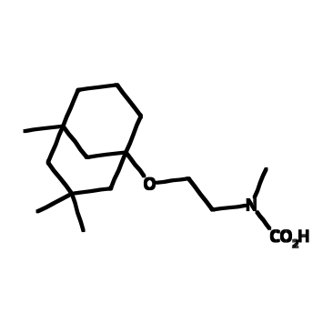 CN(CCOC12CCCC(C)(CC(C)(C)C1)C2)C(=O)O